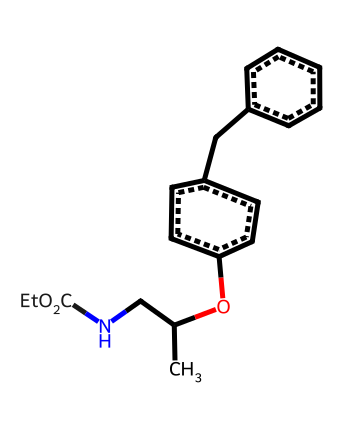 CCOC(=O)NCC(C)Oc1ccc(Cc2ccccc2)cc1